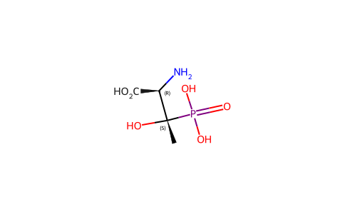 C[C@@](O)([C@H](N)C(=O)O)P(=O)(O)O